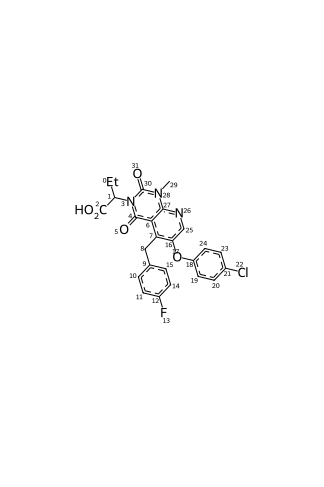 CCC(C(=O)O)n1c(=O)c2c(Cc3ccc(F)cc3)c(Oc3ccc(Cl)cc3)cnc2n(C)c1=O